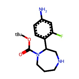 CC(C)(C)OC(=O)N1CCCNCC1c1ccc(N)cc1F